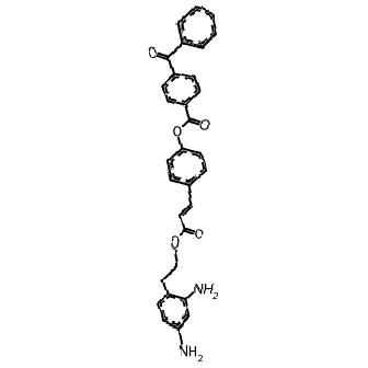 Nc1ccc(CCOC(=O)C=Cc2ccc(OC(=O)c3ccc(C(=O)c4ccccc4)cc3)cc2)c(N)c1